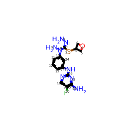 N/N=C(/SC1COC1)N(N)c1cccc(Nc2ncc(F)c(N)n2)c1